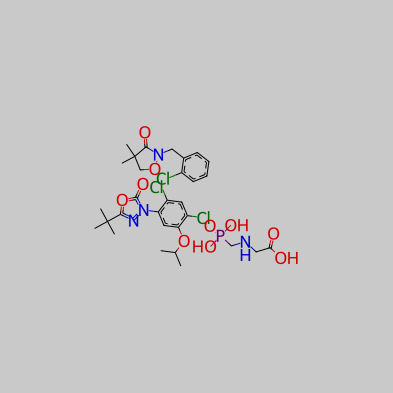 CC(C)Oc1cc(-n2nc(C(C)(C)C)oc2=O)c(Cl)cc1Cl.CC1(C)CON(Cc2ccccc2Cl)C1=O.O=C(O)CNCP(=O)(O)O